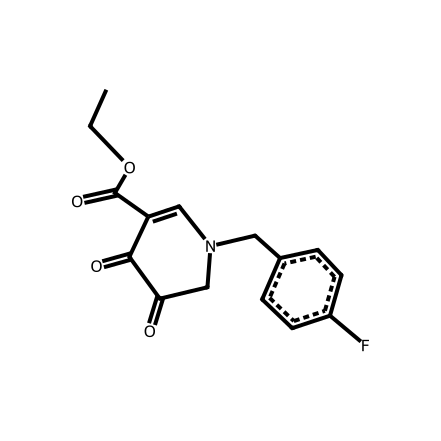 CCOC(=O)C1=CN(Cc2ccc(F)cc2)CC(=O)C1=O